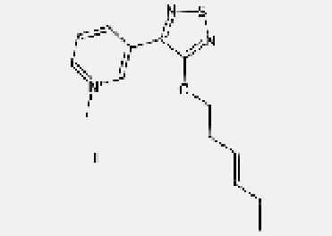 CCC=CCCOc1nsnc1-c1ccc[n+](C)c1.[I-]